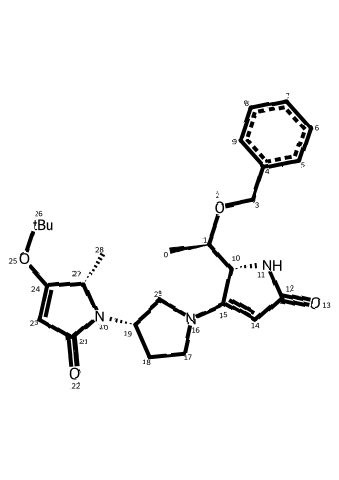 C[C@@H](OCc1ccccc1)[C@@H]1NC(=O)C=C1N1CC[C@H](N2C(=O)C=C(OC(C)(C)C)[C@@H]2C)C1